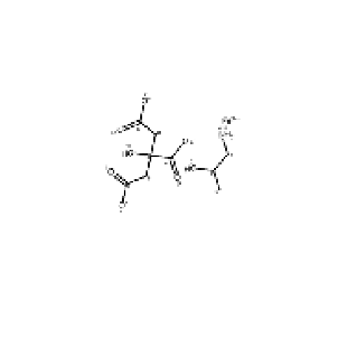 CC(O)CN.O=C([O-])CC(O)(CC(=O)[O-])C(=O)[O-].[Fe+3]